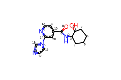 O=C(NC1CCCCC1O)c1ccnc(-n2ccnc2)c1